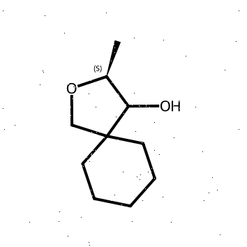 C[C@@H]1OCC2(CCCCC2)C1O